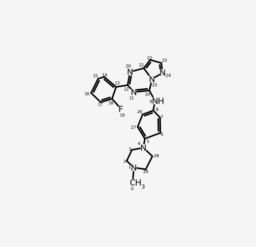 CN1CCN(c2ccc(Nc3nc(-c4ccccc4F)nc4ccnn34)cc2)CC1